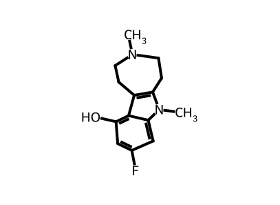 CN1CCc2c(n(C)c3cc(F)cc(O)c23)CC1